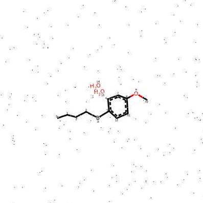 CCCC[B]c1ccc(OC)cc1.O.O